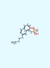 CCCCc1ccc2cccc(CP(=O)(O)O)c2c1